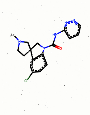 CC(=O)N1CCC2(C1)CN(C(=O)Nc1cccnn1)c1ccc(Cl)cc12